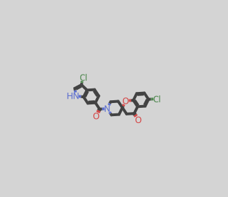 O=C1CC2(CCN(C(=O)c3ccc4c(Cl)c[nH]c4c3)CC2)Oc2ccc(Cl)cc21